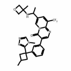 CC1CC(c2cccc(-c3cnc4c(C(F)(F)F)cc(C(C)NC5(C)COC5)cn4c3=O)c2)(c2nncn2C)C1